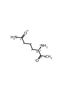 CC(=O)[C@H](N)CCCC(N)=O